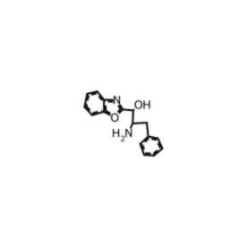 NC(Cc1ccccc1)C(O)c1nc2ccccc2o1